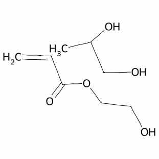 C=CC(=O)OCCO.CC(O)CO